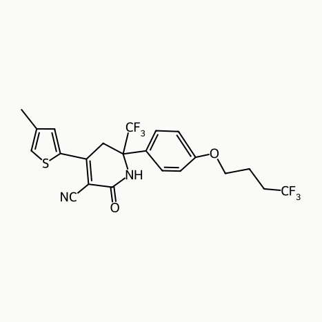 Cc1csc(C2=C(C#N)C(=O)NC(c3ccc(OCCCC(F)(F)F)cc3)(C(F)(F)F)C2)c1